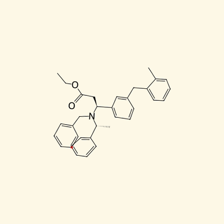 CCOC(=O)C[C@@H](c1cccc(Cc2ccccc2C)c1)N(Cc1ccccc1)[C@H](C)c1ccccc1